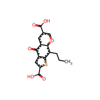 CCCc1c2occ(C(=O)O)cc-2c(=O)c2cc(C(=O)O)sc12